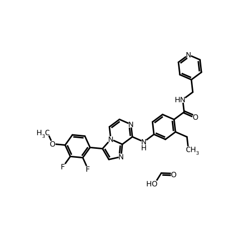 CCc1cc(Nc2nccn3c(-c4ccc(OC)c(F)c4F)cnc23)ccc1C(=O)NCc1ccncc1.O=CO